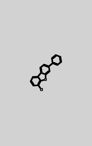 Clc1cccc2c1oc1cc(-c3ccccc3)ccc12